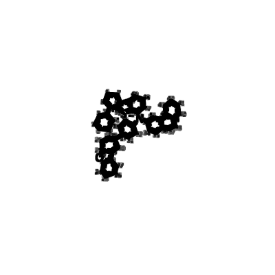 c1ccc(-c2cccc3c2sc2c(N(c4ccc(-c5ccc6oc7ccccc7c6c5)cc4)c4ccc5ccc6ccccc6c5c4)cccc23)cc1